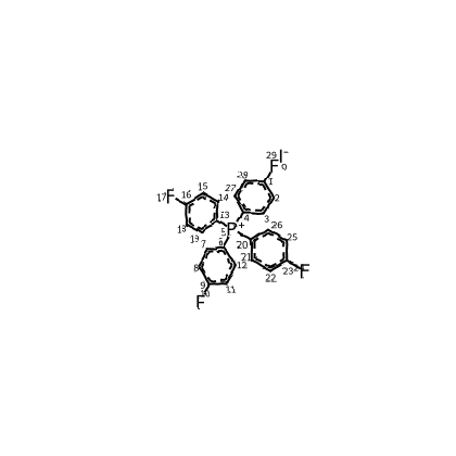 Fc1ccc([P+](c2ccc(F)cc2)(c2ccc(F)cc2)c2ccc(F)cc2)cc1.[I-]